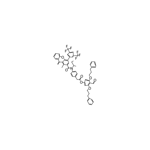 C=C1c2ccccc2Oc2c(-c3cc(C(F)(F)F)cc(C(F)(F)F)c3)cc(C(=O)N(c3ccc(CC(=O)Oc4cc(OCCCc5ccccc5)c(C=O)c(OCCCc5ccccc5)c4)cc3)C(C)CC)c(C)c21